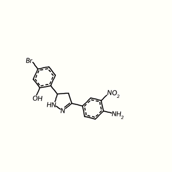 Nc1ccc(C2=NNC(c3ccc(Br)cc3O)C2)cc1[N+](=O)[O-]